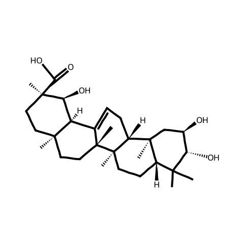 CC1(C)[C@@H](O)[C@H](O)C[C@]2(C)[C@H]3CC=C4[C@@H]5[C@H](O)[C@](C)(C(=O)O)CC[C@]5(C)CC[C@@]4(C)[C@]3(C)CC[C@@H]12